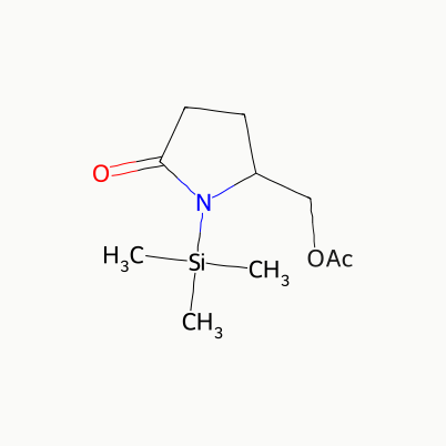 CC(=O)OCC1CCC(=O)N1[Si](C)(C)C